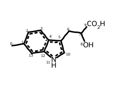 Cc1ccc2c(CC(O)C(=O)O)c[nH]c2c1